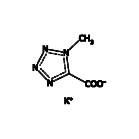 Cn1nnnc1C(=O)[O-].[K+]